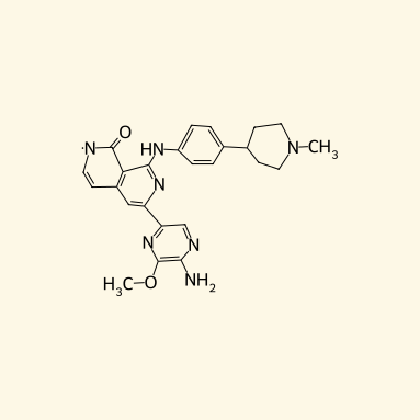 COc1nc(-c2cc3c(c(Nc4ccc(C5CCN(C)CC5)cc4)n2)C(=O)[N]C=C3)cnc1N